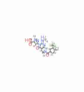 Cc1c(-n2c(NC(C)C)nc3c(c2=O)C[C@@H](C)N(C(=O)c2ccc(Cl)c(C(F)(F)F)c2)C3)nn(C)c1C(=O)O